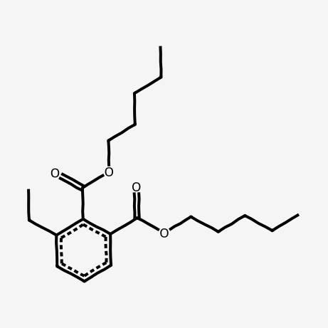 CCCCCOC(=O)c1cccc(CC)c1C(=O)OCCCCC